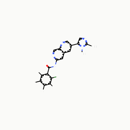 [2H]c1c([2H])c([2H])c(C(=O)Nc2cc3cc(-c4cnc(C)n4C)cnc3cn2)c(Cl)c1[2H]